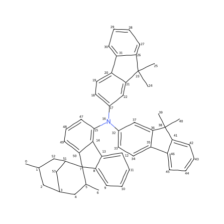 CC1CC2CC(C)C3(c4ccccc4-c4c(N(c5ccc6c(c5)C(C)(C)c5ccccc5-6)c5ccc6c(c5)C(C)(C)c5ccccc5-6)cccc43)C(C1)C2